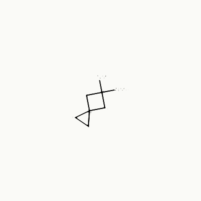 CNC1(NC)CC2(CC2)C1